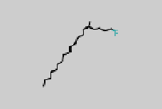 CCCCCCCCCCCCCCC(C)CCCCF